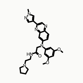 COc1cc(OC)cc(N(CC(=O)NCCN2CCCC2)c2ccc3ncc(-c4cnn(C)c4)nc3c2)c1